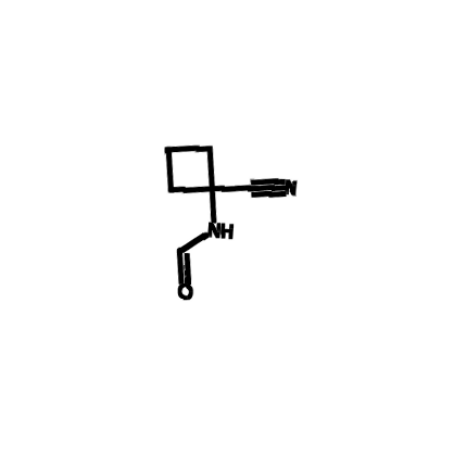 N#CC1(NC=O)CCC1